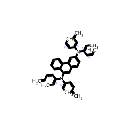 C=C/C=C\C(=C/C)N(C(/C=C\C=C)=C/C)c1cc2ccc(N(C(/C=C\C)=C/C)C(/C=C\C)=C/C=C)cc2c2ccccc12